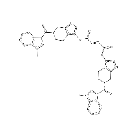 Cn1cc(C(=O)[C@@H]2CCc3c(ncn3OC(=O)/C=C/C(=O)On3cnc4c3CC[C@@H](C(=O)c3cn(C)c5ccccc35)C4)C2)c2ccccc21